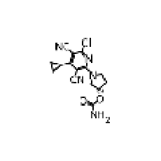 N#Cc1c(Cl)nc(N2CC[C@H](OC(N)=O)C2)c(C#N)c1C1CC1